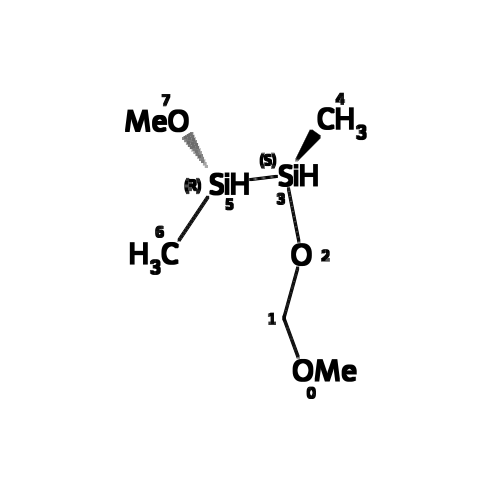 COCO[Si@H](C)[Si@H](C)OC